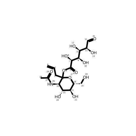 C=CCC1(OC(=O)[C@@H](O)[C@H](O)[C@@H](O)[C@H](O)C=O)O[C@H](CO)[C@@H](O)[C@H](O)[C@H]1NC(C)=O